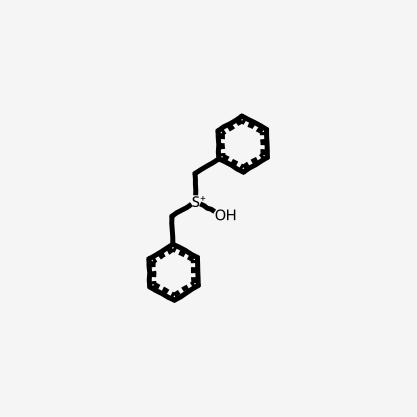 O[S+](Cc1ccccc1)Cc1ccccc1